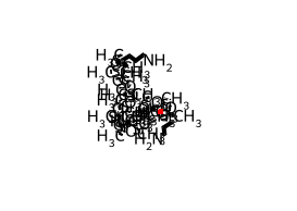 C[Si](C)(CCCN)O[Si](C)(C)O[Si](C)(C)O[Si](C)(C)O[Si](C)(C)O[Si](C)(C)O[Si](C)(C)O[Si](C)(C)O[Si](C)(C)O[Si](C)(C)O[Si](C)(C)O[Si](C)(C)CCCN